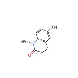 CCCN1C(=O)CCc2cc(C#N)ccc21